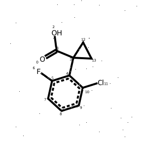 O=C(O)C1(c2c(F)cccc2Cl)CC1